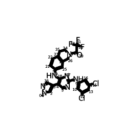 Cn1cc(-c2cnc(Nc3cc(Cl)cc(Cl)c3)nc2Nc2ccc3c(c2)CN(C(=O)C(F)(F)F)CC3)cn1